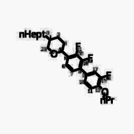 CCCCCCCC1CCC(c2ccc(-c3ccc(OCCC)c(F)c3)c(F)c2F)OC1